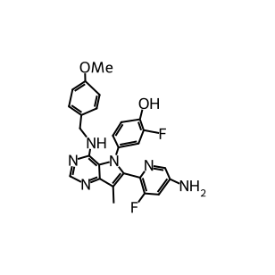 COc1ccc(CNc2ncnc3c(C)c(-c4ncc(N)cc4F)n(-c4ccc(O)c(F)c4)c23)cc1